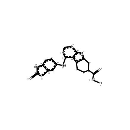 CCNC(=O)C1CCc2c(sc3ncnc(Nc4ccc5[nH]c(=O)sc5c4)c23)C1